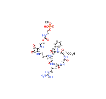 CCOP(=O)(O)OCCNC(=O)OCCNc1c(NCCCC[C@@H]2NC(=O)[C@@H](Cc3ccccc3)NC(=O)[C@H](CC(=O)O)NC(=O)CNC(=O)[C@H](CCCNC(=N)N)NC2=O)c(=O)c1=O